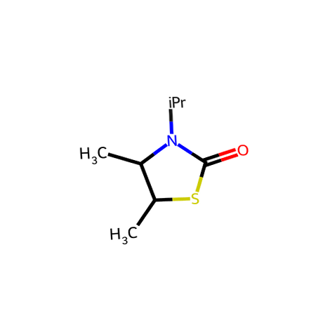 CC1SC(=O)N(C(C)C)C1C